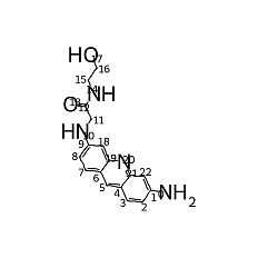 Nc1ccc2cc3ccc(NCC(=O)NCCO)cc3nc2c1